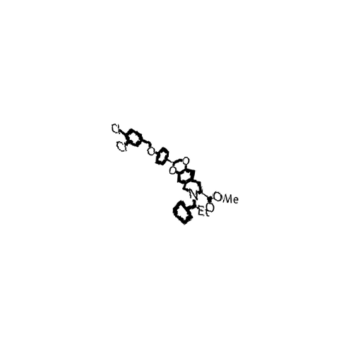 CC[C@H](c1ccccc1)N1Cc2cc3c(cc2C[C@H]1C(=O)OC)OC[C@H](c1ccc(OCc2ccc(Cl)c(Cl)c2)cc1)O3